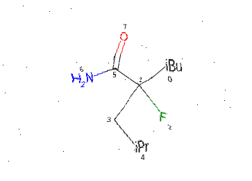 CCC(C)C(F)(CC(C)C)C(N)=O